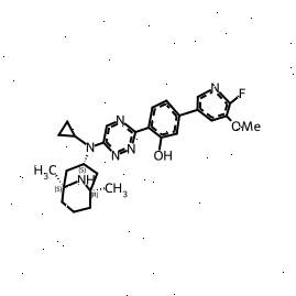 COc1cc(-c2ccc(-c3ncc(N(C4CC4)[C@H]4C[C@]5(C)CCC[C@](C)(C4)N5)nn3)c(O)c2)cnc1F